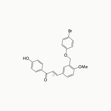 COc1ccc(/C=C/C(=O)c2ccc(O)cc2)cc1COc1ccc(Br)cc1